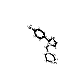 Brc1ccc(-c2nccn2CN2CCNCC2)cc1